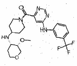 CO[C@@H]1COCC[C@@H]1NC1CCN(C(=O)c2cc(Nc3cccc(C(F)(F)F)c3)ncn2)CC1